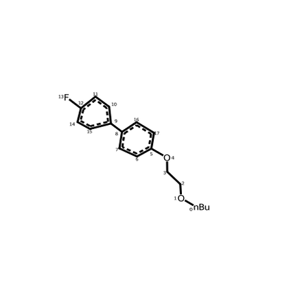 CCCCOCCOc1ccc(-c2ccc(F)cc2)cc1